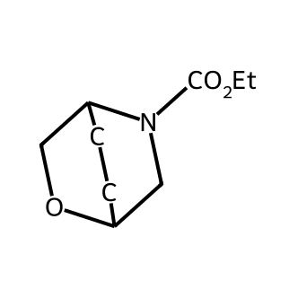 CCOC(=O)N1CC2CCC1CO2